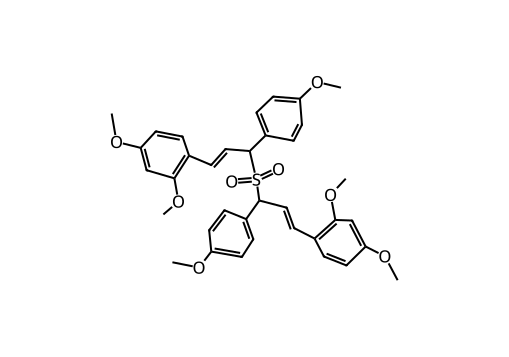 COc1ccc(C(C=Cc2ccc(OC)cc2OC)S(=O)(=O)C(C=Cc2ccc(OC)cc2OC)c2ccc(OC)cc2)cc1